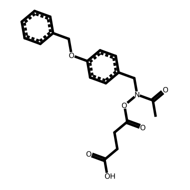 CC(=O)N(Cc1ccc(OCc2ccccc2)cc1)OC(=O)CCC(=O)O